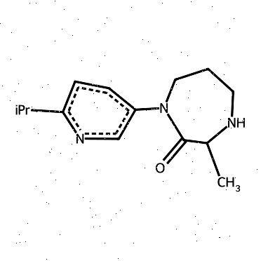 CC1NCCCN(c2ccc(C(C)C)nc2)C1=O